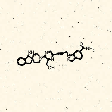 NC(=O)c1ccc2cnn(CC#Cc3cnc(N4CCC5(CC4)Cc4ccccc4[C@H]5N)c(CO)n3)c2c1